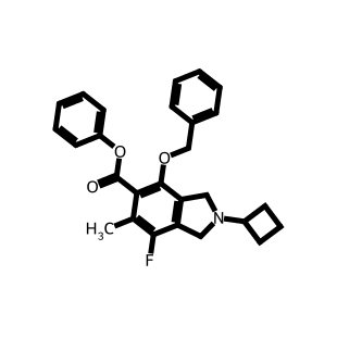 Cc1c(F)c2c(c(OCc3ccccc3)c1C(=O)Oc1ccccc1)CN(C1CCC1)C2